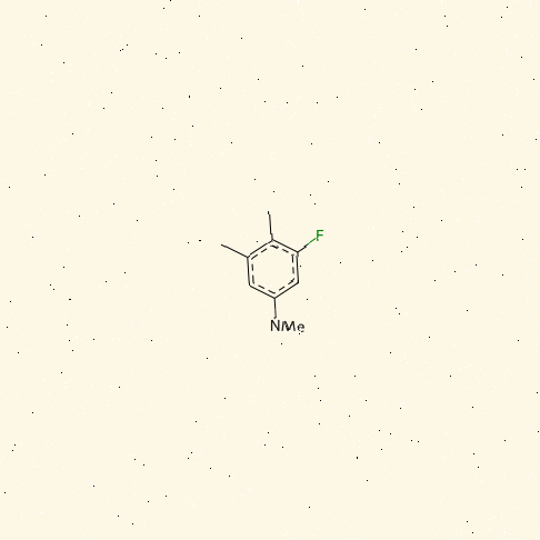 CNc1cc(C)c(C)c(F)c1